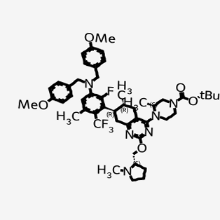 COc1ccc(CN(Cc2ccc(OC)cc2)c2cc(C)c(C(F)(F)F)c([C@@H]3Cc4nc(OC[C@@H]5CCCN5C)nc(N5CCN(C(=O)OC(C)(C)C)C[C@@H]5C)c4C[C@H]3C)c2F)cc1